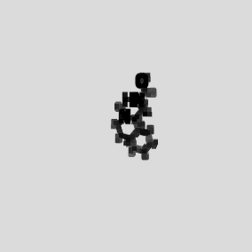 CN1CCc2ccccc2C1CNC=O